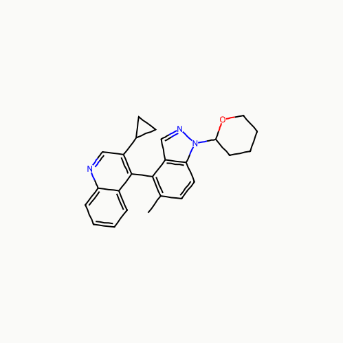 Cc1ccc2c(cnn2C2CCCCO2)c1-c1c(C2CC2)cnc2ccccc12